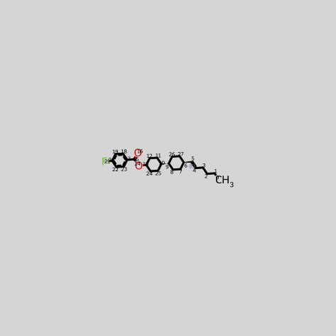 CCCC/C=C/[C@H]1CC[C@H](C2CCC(OC(=O)c3ccc(F)cc3)CC2)CC1